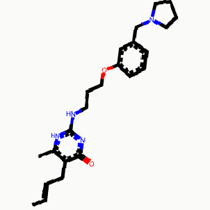 CC=CCc1c(C)[nH]c(NCCCOc2cccc(CN3CCCC3)c2)nc1=O